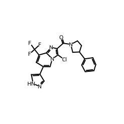 O=C(c1nc2c(C(F)(F)F)cc(-c3cn[nH]c3)cn2c1Cl)N1CCC(c2ccccc2)C1